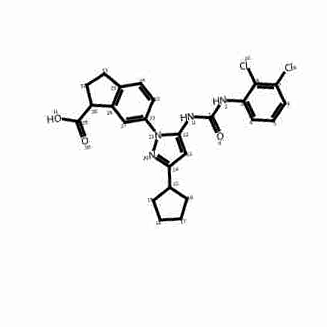 O=C(Nc1cccc(Cl)c1Cl)Nc1cc(C2CCCC2)nn1-c1ccc2c(c1)C(C(=O)O)CC2